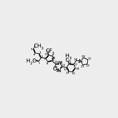 C=C/C(=C\C=C/C)c1cc(-c2nc(-c3cccc(CN4CCCC4)c3C)no2)sc1C(F)(F)F